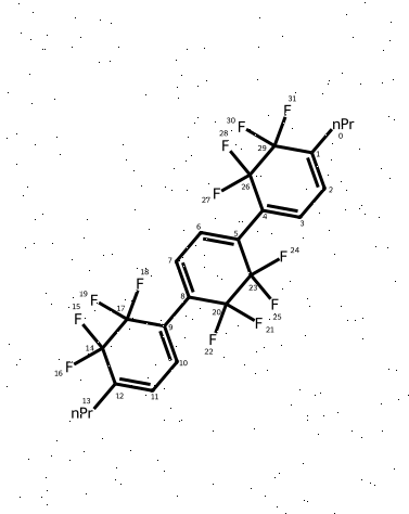 CCCC1=CC=C(C2=CC=C(C3=CC=C(CCC)C(F)(F)C3(F)F)C(F)(F)C2(F)F)C(F)(F)C1(F)F